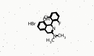 Br.CN(C)C1=NC(c2c(F)cccc2Cl)c2c(O)cccc2C1